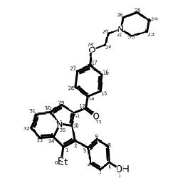 CCc1c(-c2ccc(O)cc2)c2c(C(=O)c3ccc(OCCN4CCCCC4)cc3)cc3cccc1n32